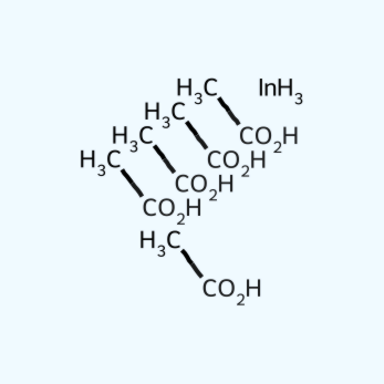 CC(=O)O.CC(=O)O.CC(=O)O.CC(=O)O.CC(=O)O.[InH3]